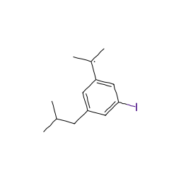 C[C](C)c1cc(I)cc(CC(C)C)c1